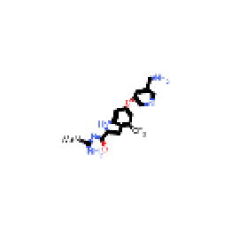 CNC(N)=NC(=O)c1cc2c(C(F)(F)F)cc(Oc3cncc(CN)c3)cc2[nH]1